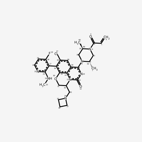 C=CC(=O)N1C[C@H](C)N(c2nc(=O)n3c4c(c(-c5c(F)ccnc5NC)c(Cl)cc24)OCC3CN2CCC2)C[C@H]1C